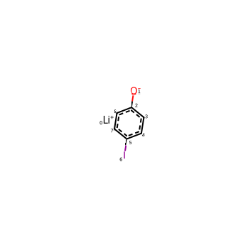 [Li+].[O-]c1ccc(I)cc1